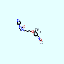 CCO/N=C/c1ccc(OCCCCCN2CCN(c3ccncc3)C2=O)c(C)c1